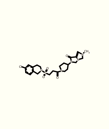 CN1C=C2C(=O)N(C3CCN(C(=O)CCS(=O)(=O)N4CCc5cc(Cl)ccc5C4)CC3)CN2C1